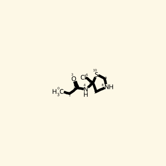 CCC(=O)NC1(Cl)CNCS1